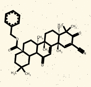 CC1(C)CC[C@]2(C(=O)OCc3ccccc3)CC[C@]3(C)C(C(=O)C=C4[C@@]5(C)C=C(C#N)C(=O)C(C)(C)[C@@H]5CC[C@]43C)C2C1